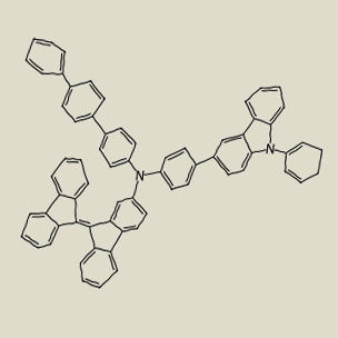 C1=CC(n2c3ccccc3c3cc(-c4ccc(N(c5ccc(-c6ccc(-c7ccccc7)cc6)cc5)c5ccc6c(c5)C(=C5c7ccccc7-c7ccccc75)c5ccccc5-6)cc4)ccc32)=CCC1